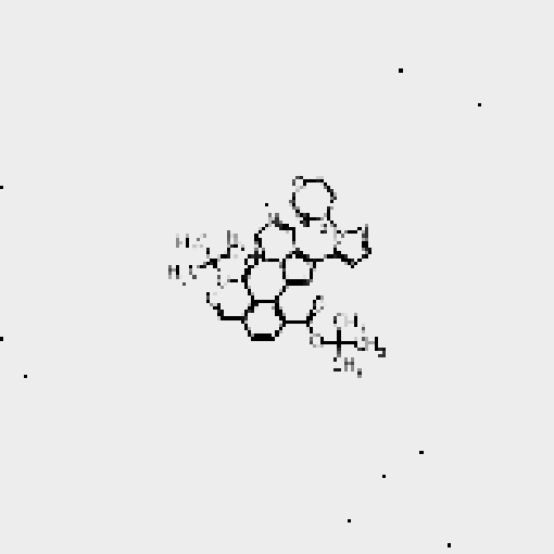 CC(C)(C)OC(=O)c1ccc(C=O)c(C(=O)OC(C)(C)C)c1-c1cc(-c2ccnn2C2CCOCC2)c2c(N)ncnn12